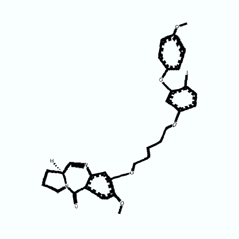 COc1ccc(Oc2cc(OCCCCCOc3cc4c(cc3OC)C(=O)N3CCC[C@H]3C=N4)ccc2I)cc1